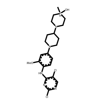 COc1cc(N2CCC(N3CC[PH](C)(O)CC3)CC2)ccc1Nc1nc(Cl)ncc1Cl